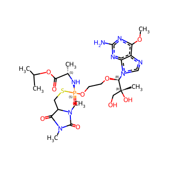 COc1nc(N)nc2c1ncn2[C@H](OCCO[P@@](=O)(N[C@@H](C)C(=O)OC(C)C)SCC1C(=O)N(C)C(=O)N1C)[C@](C)(O)CO